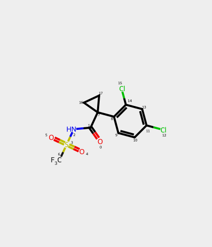 O=C(NS(=O)(=O)C(F)(F)F)C1(c2ccc(Cl)cc2Cl)CC1